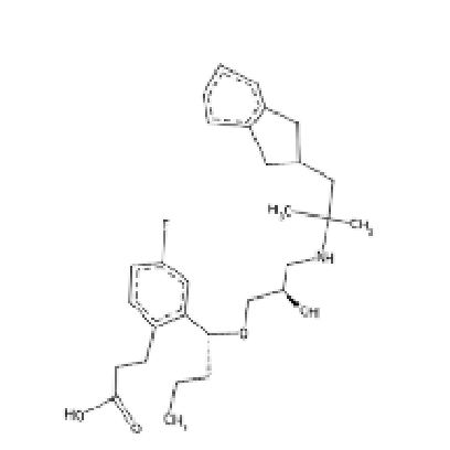 CCC[C@@H](OC[C@H](O)CNC(C)(C)CC1Cc2ccccc2C1)c1cc(F)ccc1CCC(=O)O